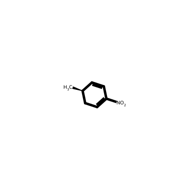 C[C@H]1C=CC([N+](=O)[O-])=CC1